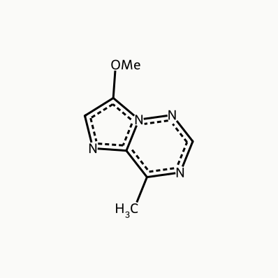 COc1cnc2c(C)ncnn12